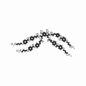 CCCCCOc1ccc(C(=O)Oc2ccc(/C=C/C(=O)OCC(COC(=O)/C=C/c3ccc(OC(=O)c4ccc(OCCCCC)cc4)cc3)c3cc(C(COC(=O)/C=C/c4ccc(OC(=O)c5ccc(OCCCCC)cc5)cc4)COC(=O)/C=C/c4ccc(OC(=O)c5ccc(OCCCCC)cc5)cc4)c(N)cc3N)cc2)cc1